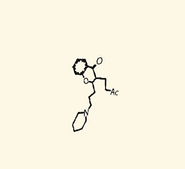 CC(=O)CCC1C(=O)c2ccccc2OC1CCCN1CCCCC1